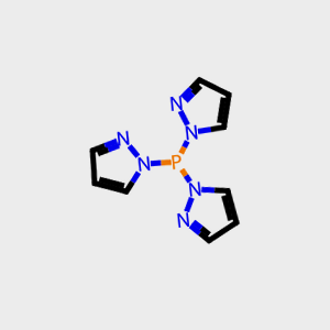 c1cnn(P(n2cccn2)n2cccn2)c1